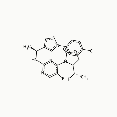 C[C@H](Nc1ncc(F)c(N2C(=O)OCC2[C@H](C)F)n1)c1cnn(-c2ccc(Cl)cc2)c1